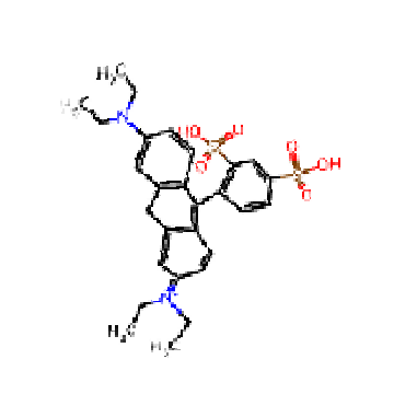 CCN(CC)c1ccc2c(c1)CC1=CC(=[N+](CC)CC)C=CC1=C2c1ccc(S(=O)(=O)O)cc1S(=O)(=O)O